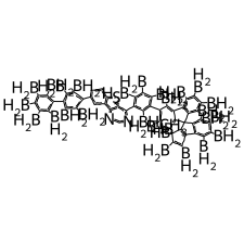 B=C1C(B)=C(B)C2=C1C1(C(=B)/C(=C(B)\C(=C(\B)C)c3c(B)c(B)c(B)c(-c4ncnc5c4sc4ccc(-c6c(B)c(B)c(-c7c(B)c(B)c(B)c(B)c7B)c(B)c6B)cc45)c3B)c3c(B)c(B)c(B)c(B)c31)c1c(B)c(B)c(B)c(B)c12